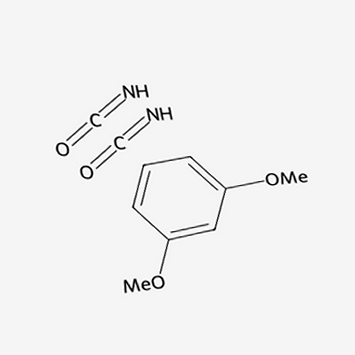 COc1cccc(OC)c1.N=C=O.N=C=O